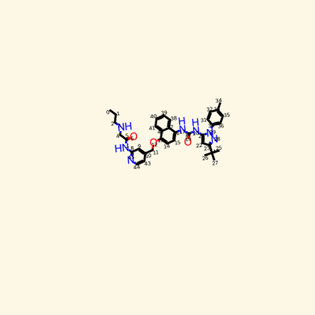 CCCNCC(=O)Nc1cc(COc2ccc(NC(=O)Nc3cc(C(C)(C)C)nn3-c3ccc(C)cc3)c3ccccc23)ccn1